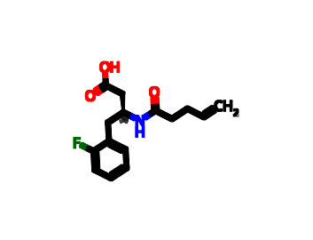 C=CCCC(=O)N[C@H](CC(=O)O)Cc1ccccc1F